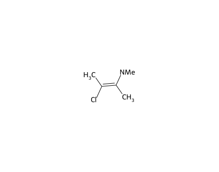 CN/C(C)=C(\C)Cl